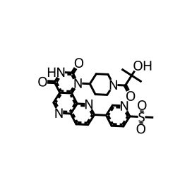 CC(C)(O)C(=O)N1CCC(n2c(=O)[nH]c(=O)c3cnc4ccc(-c5ccc(S(C)(=O)=O)nc5)nc4c32)CC1